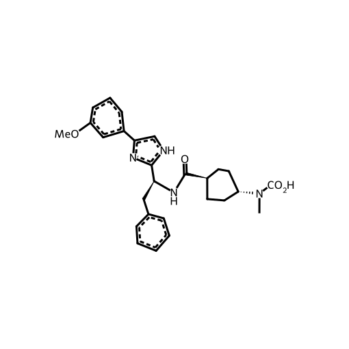 COc1cccc(-c2c[nH]c([C@H](Cc3ccccc3)NC(=O)[C@H]3CC[C@H](N(C)C(=O)O)CC3)n2)c1